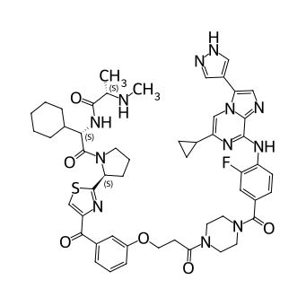 CN[C@@H](C)C(=O)N[C@H](C(=O)N1CCC[C@H]1c1nc(C(=O)c2cccc(OCCC(=O)N3CCN(C(=O)c4ccc(Nc5nc(C6CC6)cn6c(-c7cn[nH]c7)cnc56)c(F)c4)CC3)c2)cs1)C1CCCCC1